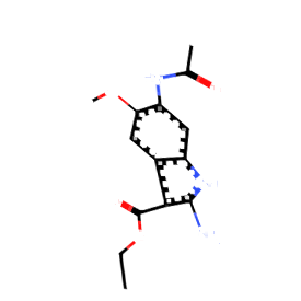 CCOC(=O)c1c(N)[nH]c2cc(NC(C)=O)c(OC)cc12